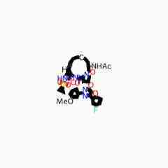 COc1cccc(-c2nc(O[C@@H]3C[C@H]4C(=O)N[C@]5(C(=O)NS(=O)(=O)C6CC6)C[C@H]5/C=C\CCCCC[C@H](NC(C)=O)C(=O)N4C3)c3oc4ccc(F)cc4c3n2)c1